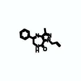 C=CCn1nc(C)c2c1C(=O)NCC(c1ccccc1)=N2